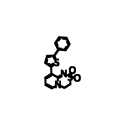 O=S1(=O)CCN2C=CC=C(c3ccc(-c4ccccc4)s3)C2=N1